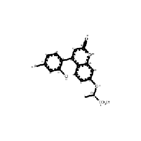 CCOC(=O)[C@@H](C)Oc1ccc2c(-c3ccc(F)cc3Cl)cc(=O)oc2c1